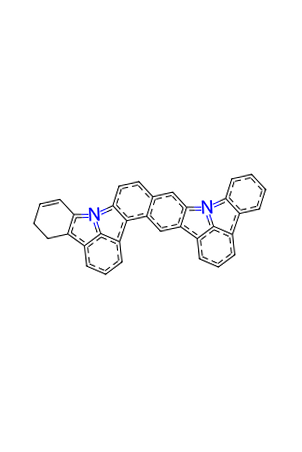 C1=Cc2c(c3cccc4c5c6cc7c8cccc9c%10ccccc%10n(c7cc6ccc5n2c34)c98)CC1